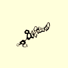 O=C(O)N(CCCN1CCOCC1)c1ncc2c(n1)-c1ccccc1[C@H](c1ccc(Cl)c(Cl)c1)C2